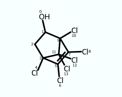 OC1CC2(Cl)C(Cl)=C(Cl)C1(Cl)C2(Cl)Cl